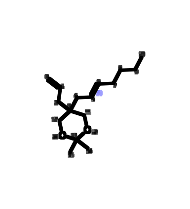 C=CCC1(C/C=C/CCCC)COC(C)(C)OC1